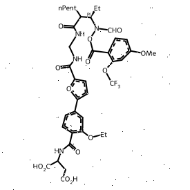 CCCCCC(C(=O)NCNC(=O)c1ccc(-c2ccc(C(=O)NC(CC(=O)O)C(=O)O)c(OCC)c2)o1)[C@@H](CC)N(C=O)OC(=O)c1ccc(OC)cc1OC(F)(F)F